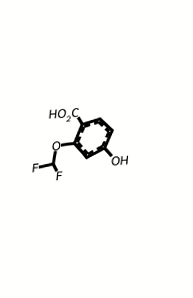 O=C(O)c1ccc(O)cc1OC(F)F